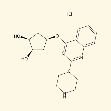 Cl.O[C@@H]1C[C@H](Oc2nc(N3CCNCC3)nc3ccccc23)C[C@@H]1O